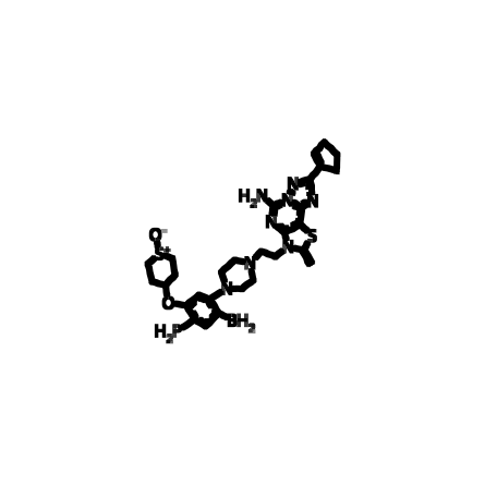 Bc1cc(P)c(OC2CC[S+]([O-])CC2)cc1N1CCN(CCN2C(=C)Sc3c2nc(N)n2nc(C4=CCCC4)nc32)CC1